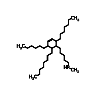 CCCCC/C=C/CC1C(CCCCCC)C=CC(CCCCCCC)C1CCCCCPC